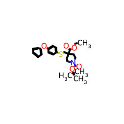 CCOC(=O)C1(CSc2ccc(Oc3ccccc3)cc2)CCN(C(=O)OC(C)(C)C)CC1